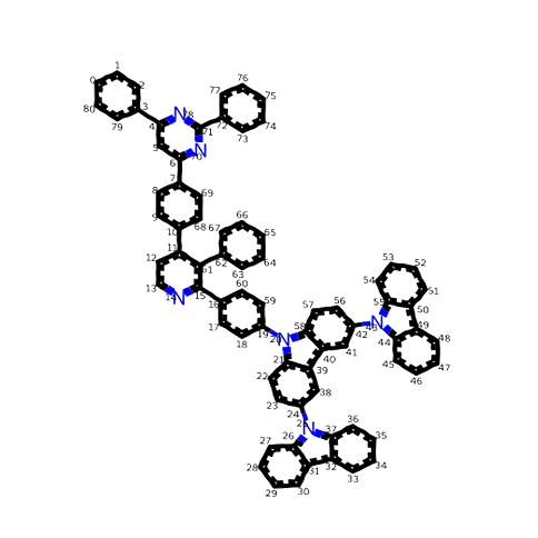 c1ccc(-c2cc(-c3ccc(-c4ccnc(-c5ccc(-n6c7ccc(-n8c9ccccc9c9ccccc98)cc7c7cc(-n8c9ccccc9c9ccccc98)ccc76)cc5)c4-c4ccccc4)cc3)nc(-c3ccccc3)n2)cc1